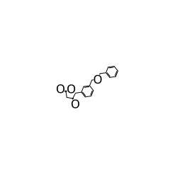 O=C1CC(=O)C(c2cccc(COCc3ccccc3)c2)O1